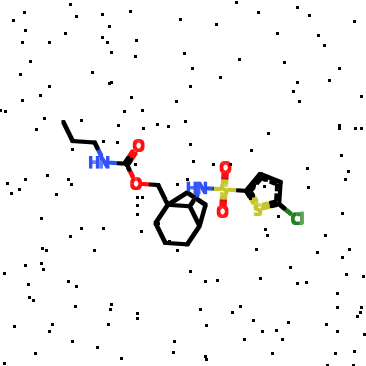 CCCNC(=O)OCC12CCCC(CC1)C2NS(=O)(=O)c1ccc(Cl)s1